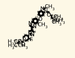 Cc1c(Oc2ccc3nc(C)n(COCC[Si](C)(C)C)c3c2)ccc2ncc(-c3cnn([C@H]4CCN(C(=O)OC(C)(C)C)C[C@@H]4F)c3)nc12